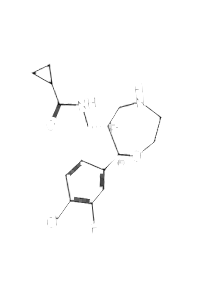 O=C(NC[C@@H]1CNCCO[C@H]1c1ccc(Cl)c(F)c1)C1CC1